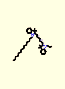 CCCCCCCCCCCCCC[N+]1=C(/C=C/C=C/C=C2/N(CCC)c3ccccc3C2(C)C)C(C)(C)c2ccccc21